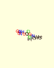 CN/N=C(\C=C(/C=O)C(C)C)Oc1c(Cl)cc(OCc2noc(=O)[nH]2)cc1Cl